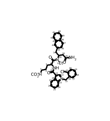 CCN(C(=O)C(CCCC(=O)O)NC(=O)c1cn(Cc2ccccc2Cl)c2ccccc12)C(CC(N)=O)Cc1ccc2ccccc2c1